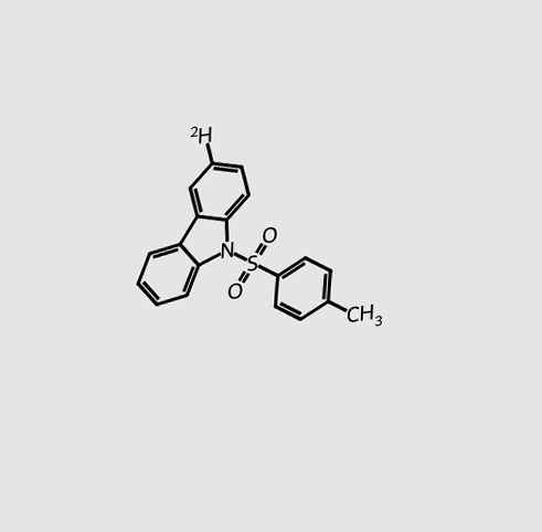 [2H]c1ccc2c(c1)c1ccccc1n2S(=O)(=O)c1ccc(C)cc1